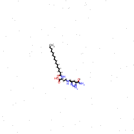 CCCCCCCCCCCCCCCC(=O)N[C@@H](CCN/C=C(/C[C@H](N)C(N)=O)N=N)C(=O)O